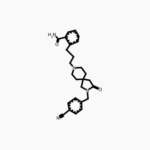 N#Cc1ccc(CN2CC3(CCN(CC[CH]c4ccccc4C(N)=O)CC3)CC2=O)cc1